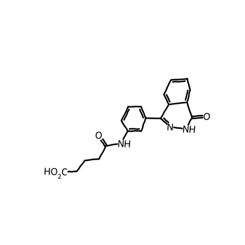 O=C(O)CCCC(=O)Nc1cccc(-c2n[nH]c(=O)c3ccccc23)c1